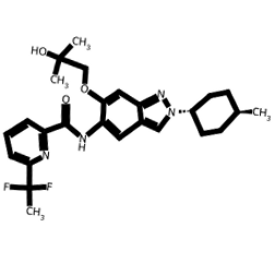 CC(C)(O)COc1cc2nn([C@H]3CC[C@H](C)CC3)cc2cc1NC(=O)c1cccc(C(C)(F)F)n1